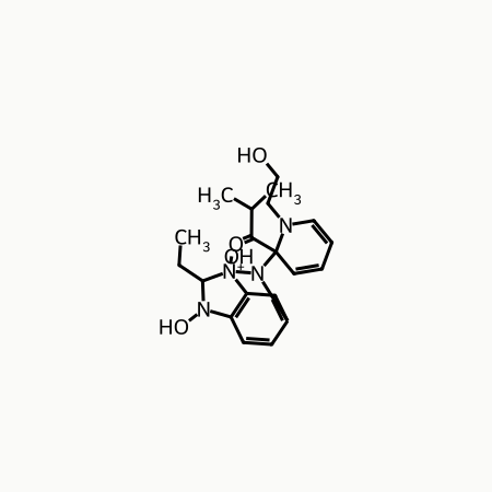 CCC1N(O)c2ccc3cc2[N+]1(O)N3C1(C(=O)C(C)C)C=CC=CN1CCO